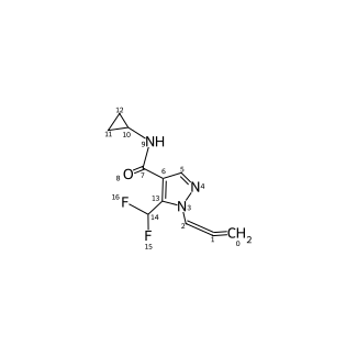 C=C=Cn1ncc(C(=O)NC2CC2)c1C(F)F